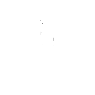 c1ccc(Nc2ncc(-c3ccc4ccccc4c3)s2)nc1